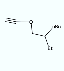 C#COCC(CC)CCCC